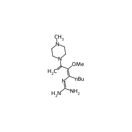 C=C(/C(OC)=C(/CCCC)N=C(N)N)N1CCN(C)CC1